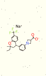 CCC1(C)CC(c2cccc(N3CC(C(=O)[O-])C3)c2)c2ccc(C(F)(F)F)cc2O1.[Na+]